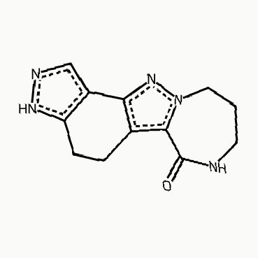 O=C1NCCCn2nc3c(c21)CCc1[nH]ncc1-3